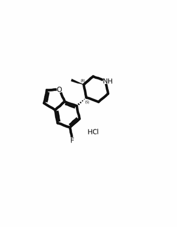 C[C@H]1CNCC[C@@H]1c1cc(F)cc2ccoc12.Cl